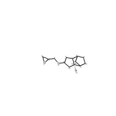 C1OC1COC1CC2C3CCC(C3)[C@H]2C1